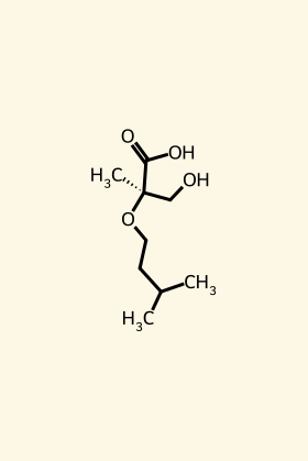 CC(C)CCO[C@](C)(CO)C(=O)O